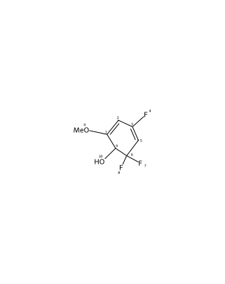 COC1=CC(F)=CC(F)(F)C1O